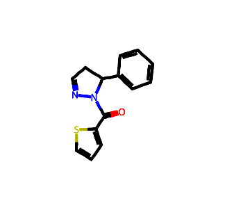 O=C(c1cccs1)N1N=CCC1c1ccccc1